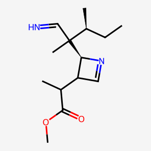 CC[C@H](C)C(C)(C=N)[C@H]1N=CC1C(C)C(=O)OC